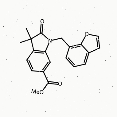 COC(=O)c1ccc2c(c1)N(Cc1cccc3ccoc13)C(=O)C2(C)C